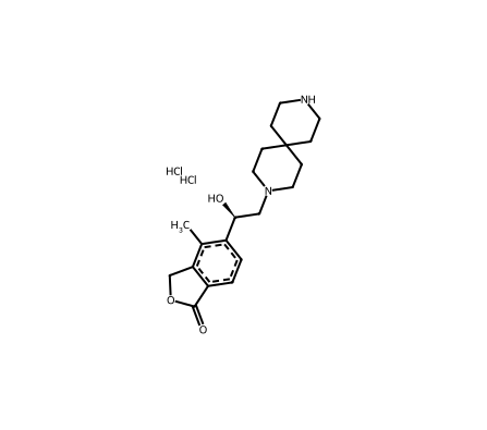 Cc1c([C@@H](O)CN2CCC3(CCNCC3)CC2)ccc2c1COC2=O.Cl.Cl